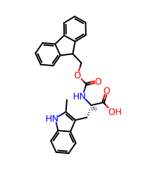 Cc1[nH]c2ccccc2c1C[C@H](NC(=O)OCC1c2ccccc2-c2ccccc21)C(=O)O